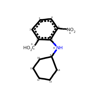 O=C(O)c1cccc([N+](=O)[O-])c1NC1CCCCC1